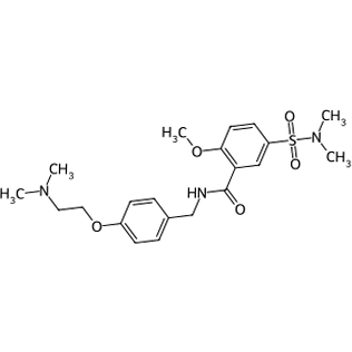 COc1ccc(S(=O)(=O)N(C)C)cc1C(=O)NCc1ccc(OCCN(C)C)cc1